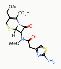 CON(C(=O)Cc1csc(N)n1)C1C(=O)N2C(C(=O)O)=C(COC(C)=O)CS[C@@H]12